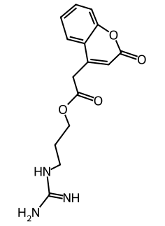 N=C(N)NCCCOC(=O)Cc1cc(=O)oc2ccccc12